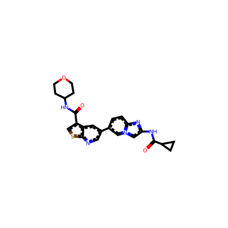 O=C(NC1CCOCC1)c1csc2ncc(-c3ccc4nc(NC(=O)C5CC5)cn4c3)cc12